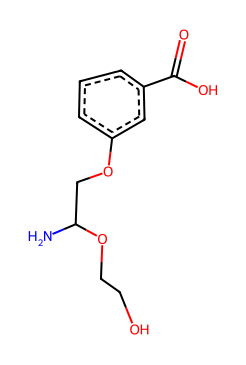 NC(COc1cccc(C(=O)O)c1)OCCO